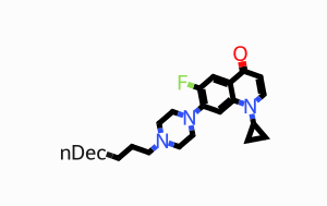 CCCCCCCCCCCCCN1CCN(c2cc3c(cc2F)c(=O)ccn3C2CC2)CC1